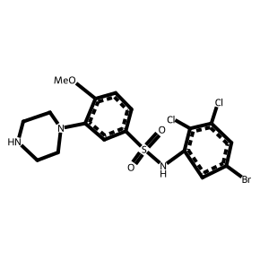 COc1ccc(S(=O)(=O)Nc2cc(Br)cc(Cl)c2Cl)cc1N1CCNCC1